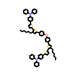 CCCCCCc1cc(-c2ccc(Oc3ccc(-c4cc(CCCCCC)c(-c5ccc(-c6ccc(N(c7ccccc7)c7ccccc7)cc6)s5)s4)cc3)cc2)sc1-c1ccc(-c2ccc(N(c3ccccc3)c3ccccc3)cc2)s1